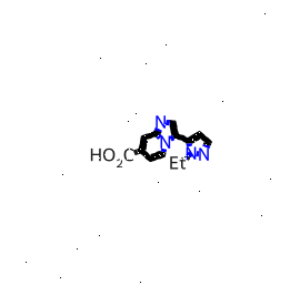 CCn1nccc1-c1cnc2cc(C(=O)O)ccn12